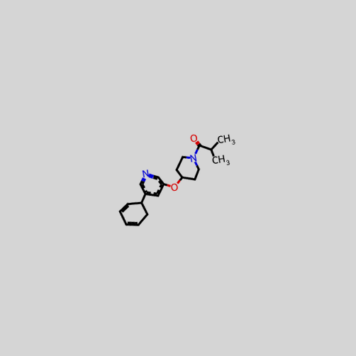 CC(C)C(=O)N1CCC(Oc2cncc(C3C=CC=CC3)c2)CC1